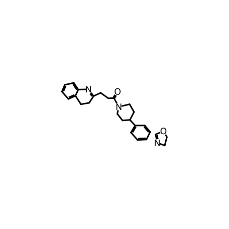 C1=NCCO1.O=C(CCC1=Nc2ccccc2CC1)N1CCC(c2ccccc2)CC1